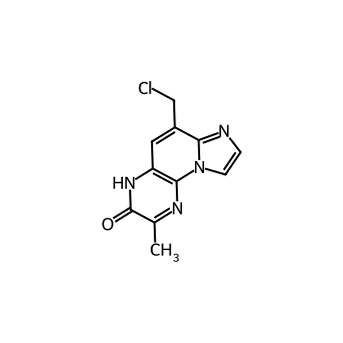 Cc1nc2c(cc(CCl)c3nccn32)[nH]c1=O